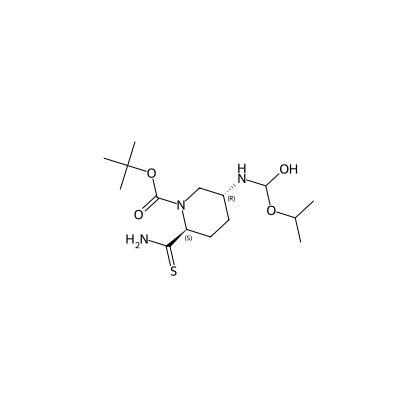 CC(C)OC(O)N[C@@H]1CC[C@@H](C(N)=S)N(C(=O)OC(C)(C)C)C1